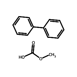 COC(=O)O.c1ccc(-c2ccccc2)cc1